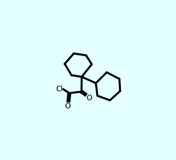 O=C(Cl)C(=O)C1(C2CCCCC2)CCCCC1